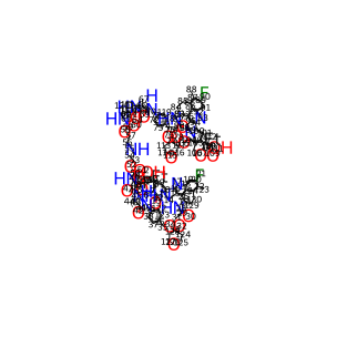 CC[C@@]1(O)C(=O)OCc2c1cc1n(c2=O)Cc2c-1nc1cc(F)c(C)c3c1c2[C@@H](NC(=O)COC1(OCc2ccc(NC(=O)[C@H](C)NC(=O)[C@@H](NC(=O)OCCNCCOC(=O)N[C@H](C(=O)N[C@@H](C)C(=O)Nc4ccc(COC5(OCC(=O)N[C@H]6CCc7c(C)c(F)cc8nc9c(c6c78)Cn6c-9cc7c(c6=O)COC(=O)[C@]7(O)CC)CCOCC5)cc4)C(C)C)C(C)C)cc2)CCOCC1)CC3